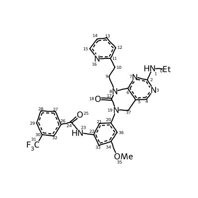 CCNc1ncc2c(n1)N(CCc1ccccn1)C(=O)N(c1cc(NC(=O)c3cccc(C(F)(F)F)c3)cc(OC)c1)C2